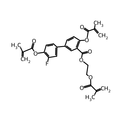 C=C(C)C(=O)OCCOC(=O)c1cc(-c2ccc(OC(=O)C(=C)C)c(F)c2)ccc1OC(=O)C(=C)C